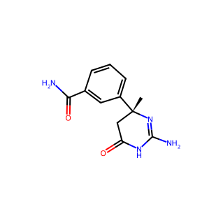 C[C@]1(c2cccc(C(N)=O)c2)CC(=O)NC(N)=N1